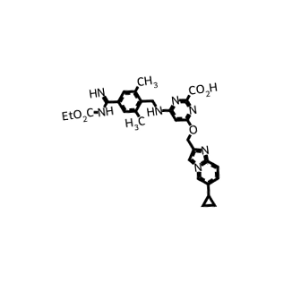 CCOC(=O)NC(=N)c1cc(C)c(CNc2cc(OCc3cn4cc(C5CC5)ccc4n3)nc(C(=O)O)n2)c(C)c1